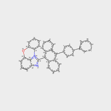 c1ccc(-c2ccc(-c3c4ccccc4c(-c4nc5cccc6c5n4-c4ccccc4O6)c4ccccc34)cc2)cc1